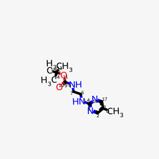 Cc1cnc(NCCNC(=O)OC(C)(C)C)nc1